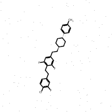 Cc1ccc([C@H]2CC[C@H](CCc3cc(F)c(CCc4ccc(Cl)c(F)c4)c(F)c3)CC2)cc1